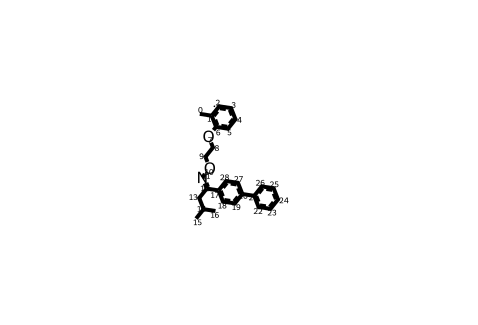 Cc1[c]cccc1OCCON=C(CC(C)C)c1ccc(-c2ccccc2)cc1